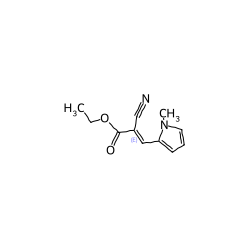 CCOC(=O)/C(C#N)=C/c1cccn1C